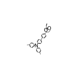 C=CC(=O)OC(CC)c1ccc(-c2ccc(N(c3ccc(C)cc3)c3ccc(C)cc3)cc2)cc1